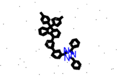 Cc1ccc(C2(c3ccc(C)cc3)c3ccccc3-c3c(-c4cccc(-c5cccc(-c6nc(-c7ccccc7)nc(-c7ccccc7)n6)c5)c4)cccc32)cc1